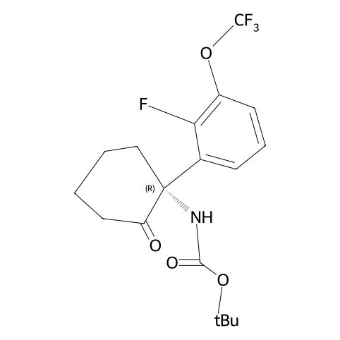 CC(C)(C)OC(=O)N[C@@]1(c2cccc(OC(F)(F)F)c2F)CCCCC1=O